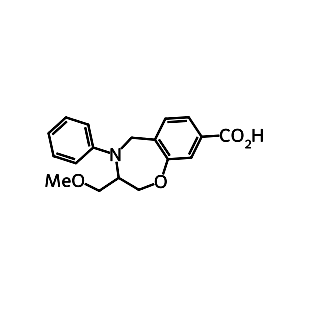 COCC1COc2cc(C(=O)O)ccc2CN1c1ccccc1